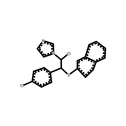 Clc1ccc(C(Sc2ccc3ccccc3c2)C(Cl)n2ccnc2)cc1